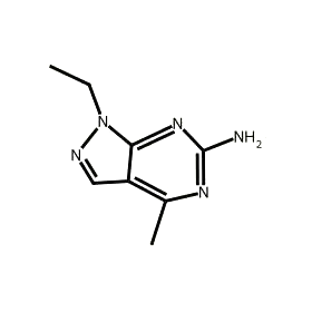 CCn1ncc2c(C)nc(N)nc21